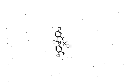 CC(C)(O)CN(C(=O)c1ccc(Cl)nc1Cl)c1ccc(Cl)c(F)c1